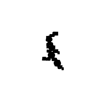 COc1cc(C(C)n2c(N)nc3cc(-c4cnn(CCO)c4)cnc32)ccc1OCc1ccc(C(F)(F)F)cc1